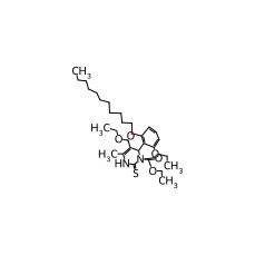 CCCCCCCCCCCCc1cccc(OCC)c1C1C(C(=O)OCC)=C(C)NC(=S)N1C(=O)OCC